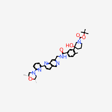 Cc1ccc(C(=O)NCc2cc3nc(-c4cccc(N5C[C@@H](C)O[C@@H](C)C5)n4)ccc3cn2)cc1C1(O)CCCN(C(=O)OC(C)(C)C)C1